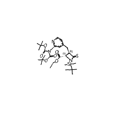 CCOC(=O)[C@@H]1[C@@H](Cc2ccnc(N(C(=O)OC(C)(C)C)C(=O)OC(C)(C)C)c2)C(=S)N1[Si](C)(C)C(C)(C)C